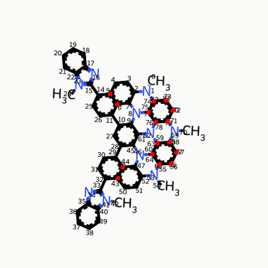 CN1c2ccccc2N(c2c(-c3ccc(-c4nc5ccccc5n4C)cc3)cc(-c3ccc(-c4nc5ccccc5n4C)cc3)c(N3c4ccccc4N(C)c4ccccc43)c2N2c3ccccc3N(C)c3ccccc32)c2ccccc21